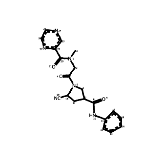 CN(CC(=O)N1CC(C(=O)Nc2ccccc2)CC1C#N)C(=O)c1cnccn1